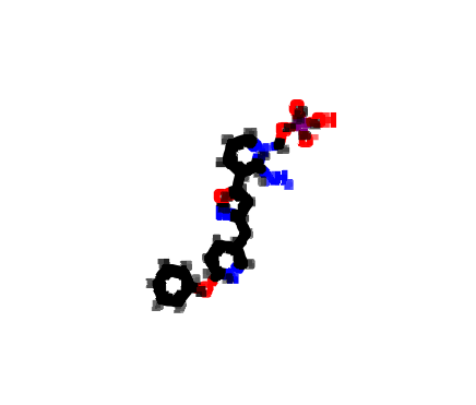 Nc1c(-c2cc(Cc3ccc(Oc4ccccc4)nc3)no2)ccc[n+]1COP(=O)([O-])O